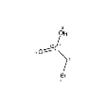 O=[12C](O)CBr